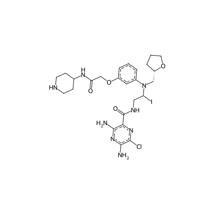 Nc1nc(N)c(C(=O)NCC(I)N(C[C@@H]2CCCO2)c2cccc(OCC(=O)NC3CCNCC3)c2)nc1Cl